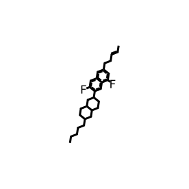 CC=CCCc1cc(F)c2cc(C3CCC4CC(CCCCC)CCC4C3)c(F)cc2c1